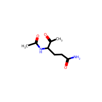 CC(=O)NC(CCC(N)=O)C(C)=O